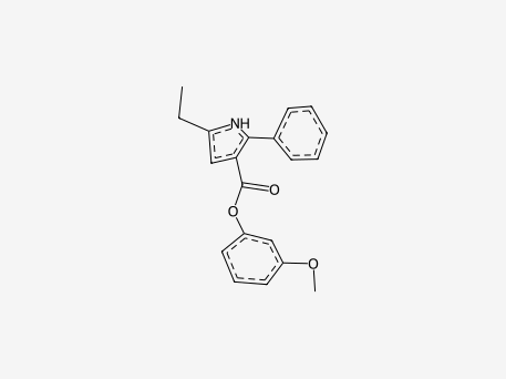 CCc1cc(C(=O)Oc2cccc(OC)c2)c(-c2ccccc2)[nH]1